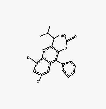 CC(C)N(C)c1nc2c(Cl)cc(Cl)cc2c(-c2ccccc2)c1OC(=O)O